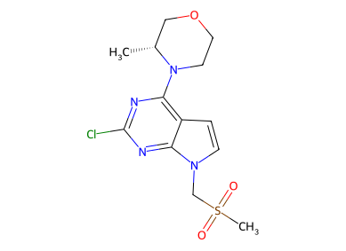 C[C@@H]1COCCN1c1nc(Cl)nc2c1ccn2CS(C)(=O)=O